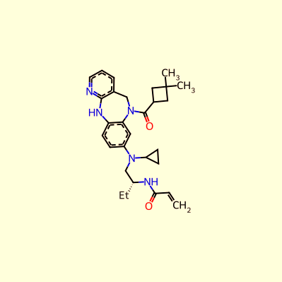 C=CC(=O)N[C@H](CC)CN(c1ccc2c(c1)N(C(=O)C1CC(C)(C)C1)Cc1cccnc1N2)C1CC1